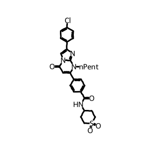 CCCCCn1c(-c2ccc(C(=O)NC3CCS(=O)(=O)CC3)cc2)cc(=O)n2cc(-c3ccc(Cl)cc3)nc12